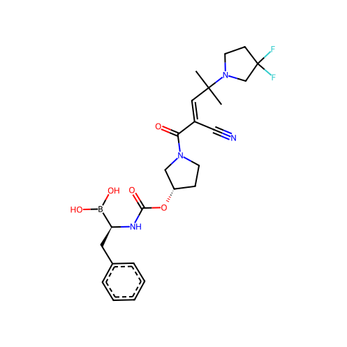 CC(C)(/C=C(\C#N)C(=O)N1CC[C@H](OC(=O)N[C@@H](Cc2ccccc2)B(O)O)C1)N1CCC(F)(F)C1